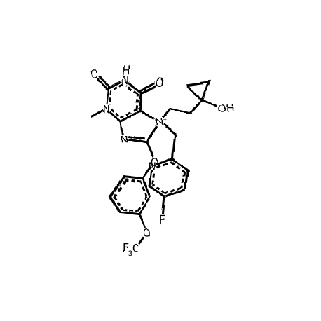 Cn1c2c(c(=O)[nH]c1=O)[N+](CCC1(O)CC1)(Cc1ccc(F)cn1)C(Oc1cccc(OC(F)(F)F)c1)=N2